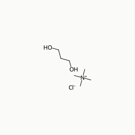 C[N+](C)(C)C.OCCCO.[Cl-]